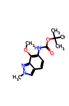 COc1c(NC(=O)OC(C)(C)C)ccc2cn(C)nc12